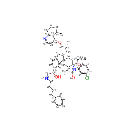 COC(=O)C1(N(C(=O)C(F)(F)F)c2cccc(Cl)c2)CCC2(CC1)c1cc([C@@H](O)CN(C)CCCCc3ccccc3)ccc1C[C@@H]2C[C@@H](C)COc1ccnc2c1[C@H](C)CCC2